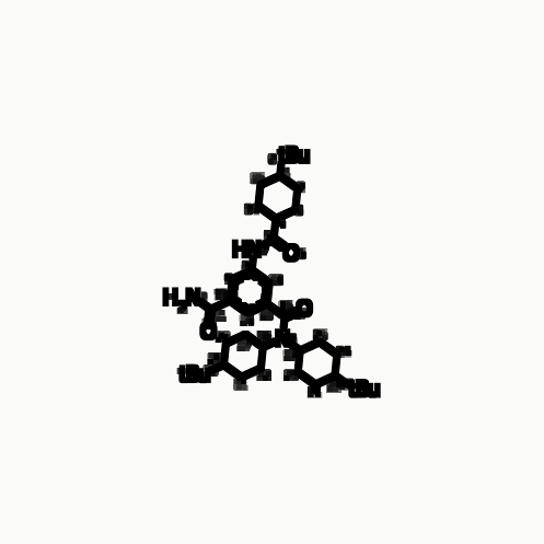 CC(C)(C)C1CCC(C(=O)Nc2cc(C(N)=O)cc(C(=O)N(C3CCC(C(C)(C)C)CC3)C3CCC(C(C)(C)C)CC3)c2)CC1